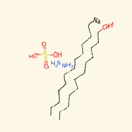 CCCCCCCCCCCCO.CCCCCCCCCCC[CH2][Na].N.N.O=S(=O)(O)O